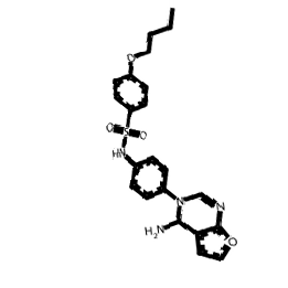 CCCCOc1ccc(S(=O)(=O)Nc2ccc(N3C=Nc4occc4C3N)cc2)cc1